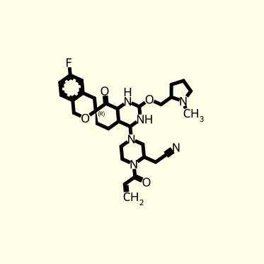 C=CC(=O)N1CCN(C2NC(OCC3CCCN3C)NC3C(=O)[C@@]4(CCC32)Cc2cc(F)ccc2CO4)CC1CC#N